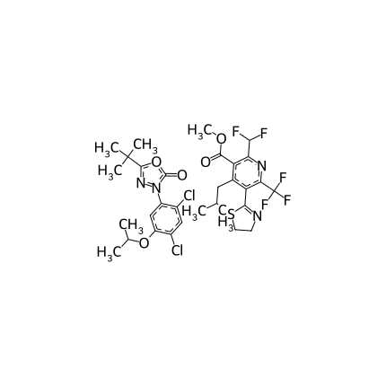 CC(C)Oc1cc(-n2nc(C(C)(C)C)oc2=O)c(Cl)cc1Cl.COC(=O)c1c(C(F)F)nc(C(F)(F)F)c(C2=NCCS2)c1CC(C)C